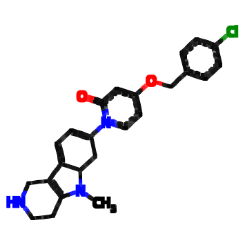 CN1C2=C(CNCC2)C2=CC=C(n3ccc(OCc4ccc(Cl)cc4)cc3=O)CC21